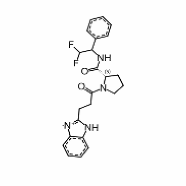 O=C(NC(c1ccccc1)C(F)F)[C@@H]1CCCN1C(=O)CCC1=[N+]c2ccccc2N1